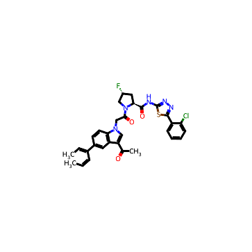 C/C=C\C(=C/C)c1ccc2c(c1)c(C(C)=O)cn2CC(=O)N1C[C@H](F)C[C@H]1C(=O)Nc1nnc(-c2ccccc2Cl)s1